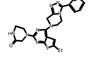 CCc1cc2c(N3CCn4c(nnc4-c4ccccc4)C3)nc(N3CCNC(=O)C3)nc2s1